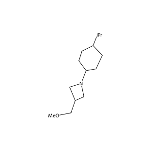 COCC1CN(C2CCC(C(C)C)CC2)C1